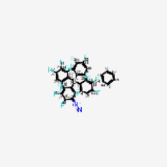 [N-]=[N+]=C1C(F)=C([B-](c2c(F)cc(F)c(F)c2F)(c2c(F)cc(F)c(F)c2F)c2c(F)cc(F)c(F)c2F)C(F)=C(F)C1F.c1ccccc1